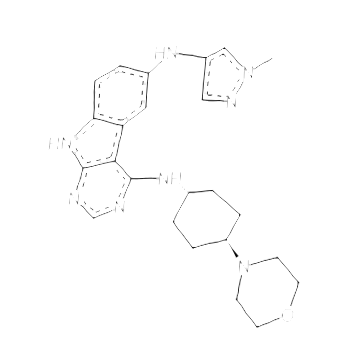 Cn1cc(Nc2ccc3[nH]c4ncnc(N[C@H]5CC[C@H](N6CCOCC6)CC5)c4c3c2)cn1